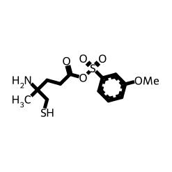 COc1cccc(S(=O)(=O)OC(=O)CCC(C)(N)CS)c1